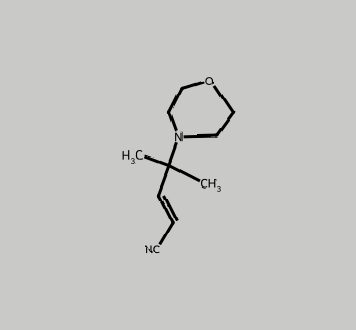 CC(C)(C=CC#N)N1CCOCC1